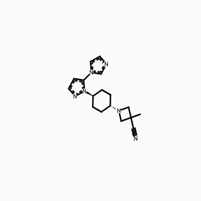 CC1(C#N)CN([C@H]2CC[C@H](n3nccc3-n3ccnc3)CC2)C1